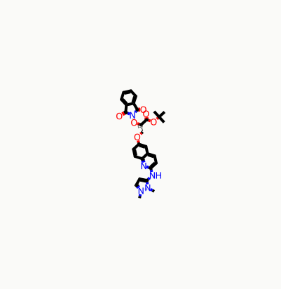 Cn1c(Nc2ccc3cc(OC[C@H](ON4C(=O)c5ccccc5C4=O)C(=O)OC(C)(C)C)ccc3n2)cc[n+]1C